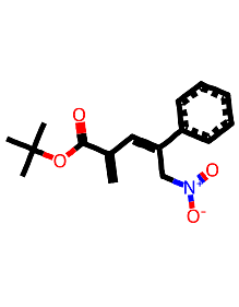 C=C(C=C(C[N+](=O)[O-])c1ccccc1)C(=O)OC(C)(C)C